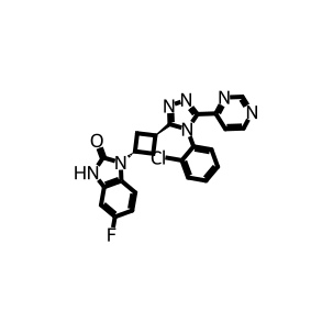 O=c1[nH]c2cc(F)ccc2n1[C@H]1C[C@H](c2nnc(-c3ccncn3)n2-c2ccccc2Cl)C1